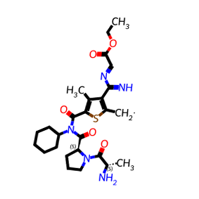 [CH2]c1sc(C(=O)N(C(=O)[C@@H]2CCCN2C(=O)[C@H](C)N)C2CCCCC2)c(C)c1C(=N)N=CC(=O)OCC